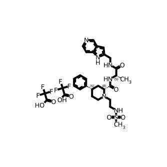 C[C@H](NC(=O)[C@H]1C[C@@H](c2ccccc2)CCN1CCNS(C)(=O)=O)C(=O)NCc1cc2cnccc2[nH]1.O=C(O)C(F)(F)F.O=C(O)C(F)(F)F